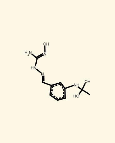 CC(O)(O)Nc1cccc(C=NNC(N)=NO)c1